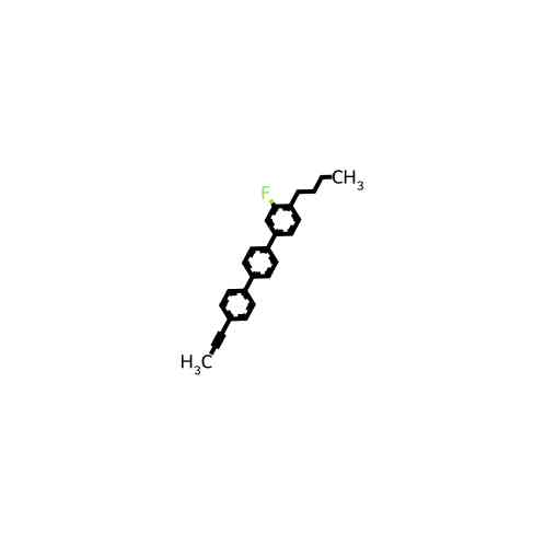 CC#Cc1ccc(-c2ccc(-c3ccc(CCCC)c(F)c3)cc2)cc1